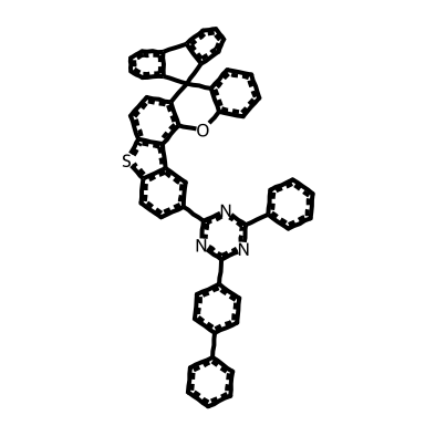 c1ccc(-c2ccc(-c3nc(-c4ccccc4)nc(-c4ccc5sc6ccc7c(c6c5c4)Oc4ccccc4C74c5ccccc5-c5ccccc54)n3)cc2)cc1